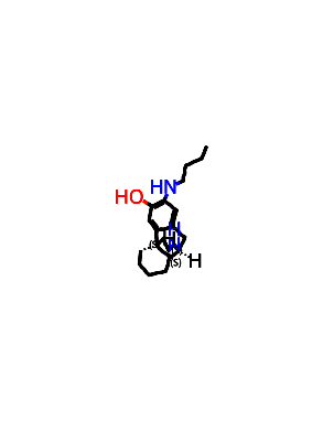 CCCCNc1cc2c(cc1O)[C@]13CCCC[C@@H]1[C@H](C2)NCC3